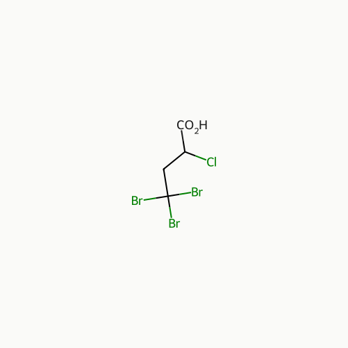 O=C(O)C(Cl)CC(Br)(Br)Br